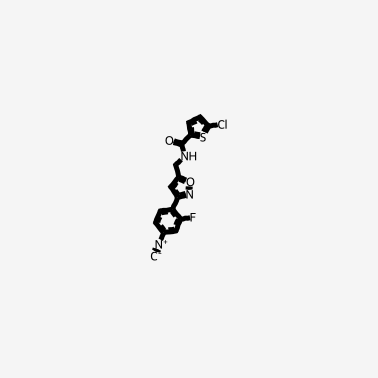 [C-]#[N+]c1ccc(-c2cc(CNC(=O)c3ccc(Cl)s3)on2)c(F)c1